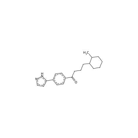 CC1CCCCC1CCCC(=O)c1ccc(-c2ccn[nH]2)cc1